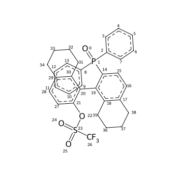 O=P(c1ccccc1)(c1ccccc1)c1ccc2c(c1-c1c(OS(=O)(=O)C(F)(F)F)ccc3c1CCCC3)CCCC2